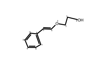 OCCOC=Cc1ccccc1